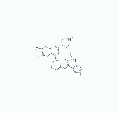 CN1CCC(c2cc3c(c(N4CCCc5cc(-c6cnn(C)c6)c(C(F)F)cc54)c2)CN(C)C(=O)C3)CC1